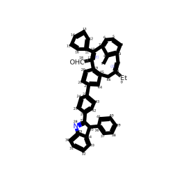 CC/C1=C/c2cccc(c2C)/C(c2ccccc2)=C(/C=O)c2ccc(-c3ccc(C4=Nc5ccccc5C4c4ccccc4)cc3)cc2C1